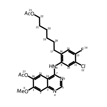 COc1cc2ncnc(Nc3cc(Cl)c(F)cc3C[CH]CCCCOC(C)=O)c2cc1OC(C)=O